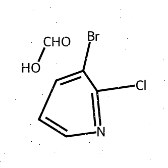 Clc1ncccc1Br.O=CO